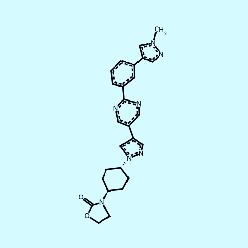 Cn1cc(-c2cccc(-c3ncc(-c4cnn([C@H]5CC[C@H](N6CCOC6=O)CC5)c4)cn3)c2)cn1